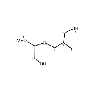 COC(CO)OCC(C)CO